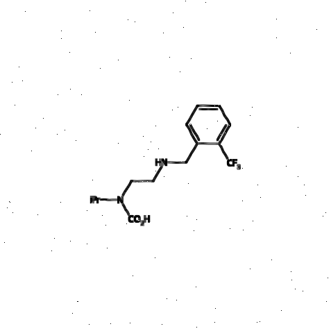 CC(C)N(CCNCc1ccccc1C(F)(F)F)C(=O)O